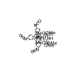 CCC(NC(CC)[Si](OC)(OC)OC)[Si](OC)(OC)OC.O=C=Nc1ccc(OP(=O)(Oc2ccc(N=C=O)cc2)Sc2ccc(N=C=O)cc2)cc1